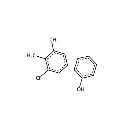 Cc1cccc(Cl)c1C.Oc1ccccc1